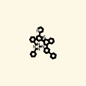 c1ccc(-c2ccc3c(c2)c2c4ccccc4c4sc5c(-c6ccccn6)cccc5c4c2n3-c2nc(-c3ccccc3)nc(-c3ccccc3)n2)cc1